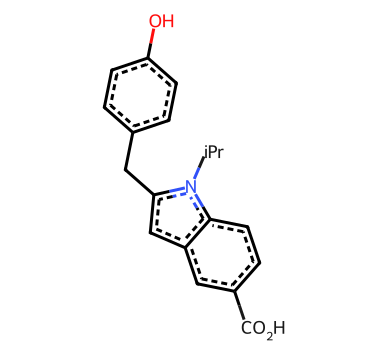 CC(C)n1c(Cc2ccc(O)cc2)cc2cc(C(=O)O)ccc21